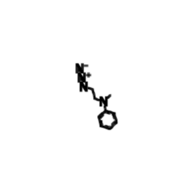 CN(CCN=[N+]=[N-])c1ccccc1